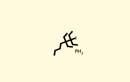 CCCCC(CC)(CC)C(I)(CC)CC.P